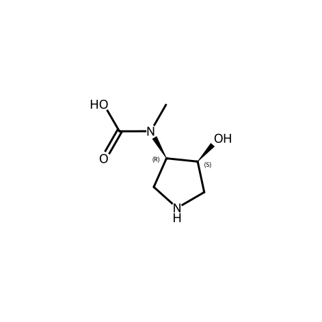 CN(C(=O)O)[C@@H]1CNC[C@@H]1O